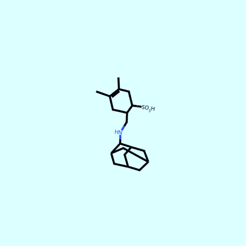 CC1=C(C)CC(S(=O)(=O)O)C(CNC2C3CC4CC(C3)CC2C4)C1